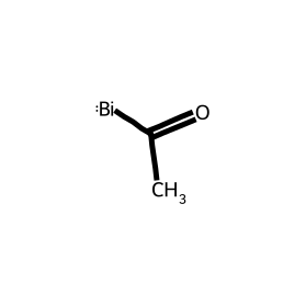 C[C](=O)[Bi]